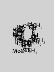 C=C1C[C@@H]2CC[C@@]34C[C@@H]5O[C@H]6[C@@H](O3)[C@H]3O[C@H](CC[C@@H]3O[C@H]6[C@@]5(C)O4)CC(=O)O[C@@H]3[C@@H](C)[C@@H]4O[C@H](COC)[C@H](C)C[C@@H]4O[C@H]3C[C@H]3O[C@@H](CC[C@@H]1O2)C[C@@H](C)C3=C